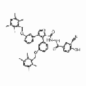 Cc1cc(C)c(C)c(COc2cccc(-c3coc(C(=O)NNC(=O)c4ccc(O)c(C#N)c4)c3-c3cccc(OCc4c(C)c(C)cc(C)c4C)c3)c2)c1C